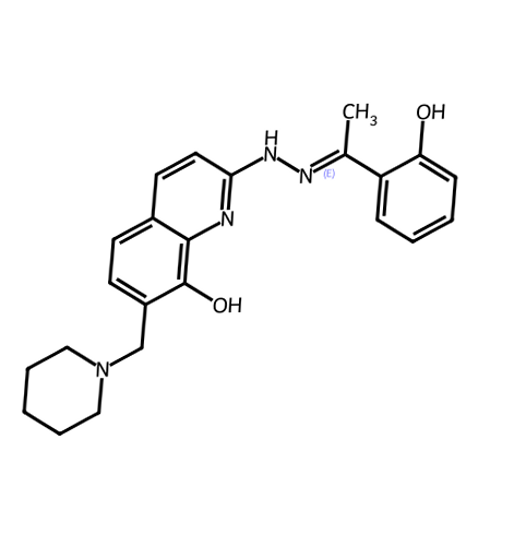 C/C(=N\Nc1ccc2ccc(CN3CCCCC3)c(O)c2n1)c1ccccc1O